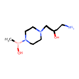 CB(O)N1CCN(CC(O)CN)CC1